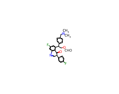 CN(C)Cc1ccc(C(COC=O)c2cc(F)cc3c2C(=O)C(c2ccc(F)cc2)C=N3)cc1